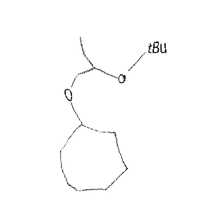 CC(OC1CCCCC1)OC(C)(C)C